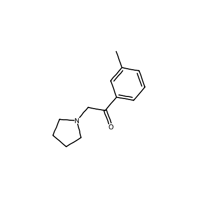 Cc1cccc(C(=O)CN2CCCC2)c1